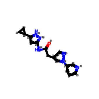 O=C(Cc1cnn(-c2cccnc2)c1)Nc1cc(C2CC2)[nH]n1